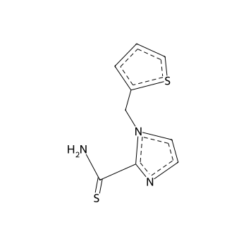 NC(=S)c1nccn1Cc1cccs1